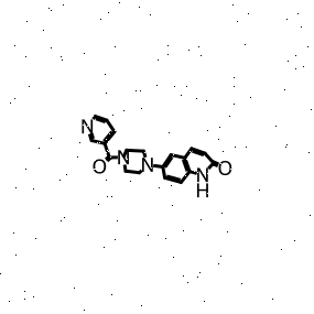 O=C(c1cccnc1)N1CCN(c2ccc3[nH]c(=O)ccc3c2)CC1